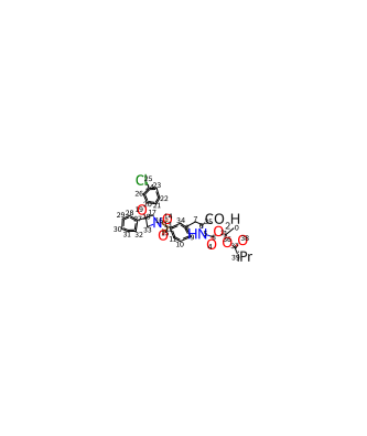 CC(OC(=O)NC(Cc1cccc(S(=O)(=O)N2CC(Oc3cccc(Cl)c3)(c3ccccc3)C2)c1)C(=O)O)OC(=O)C(C)C